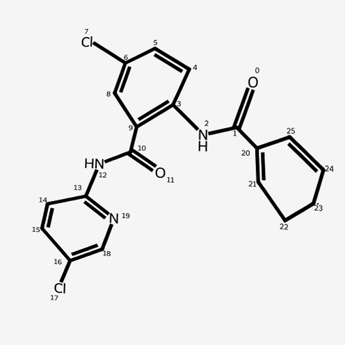 O=C(Nc1ccc(Cl)cc1C(=O)Nc1ccc(Cl)cn1)C1=CC[CH]C=C1